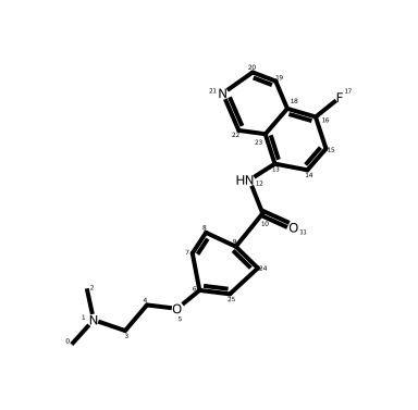 CN(C)CCOc1ccc(C(=O)Nc2ccc(F)c3ccncc23)cc1